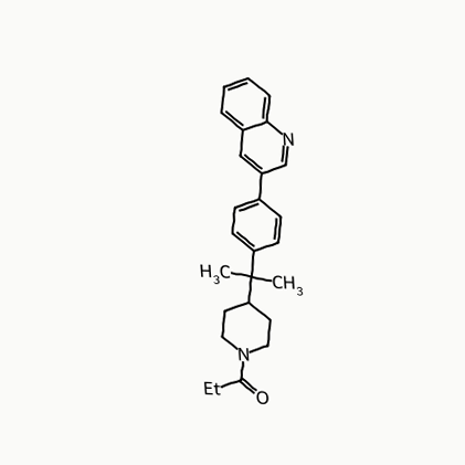 CCC(=O)N1CCC(C(C)(C)c2ccc(-c3cnc4ccccc4c3)cc2)CC1